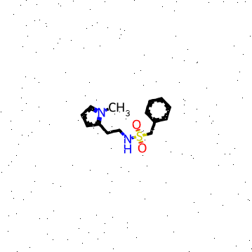 Cn1cccc1CCNS(=O)(=O)Cc1ccccc1